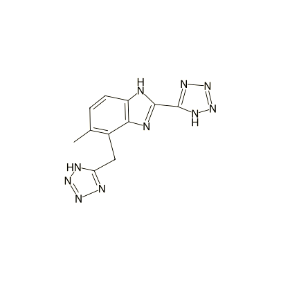 Cc1ccc2[nH]c(-c3nnn[nH]3)nc2c1Cc1nnn[nH]1